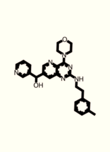 Cc1cccc(CCNc2nc(N3CCOCC3)c3ncc(C(O)c4cccnc4)cc3n2)c1